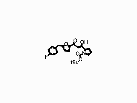 CC(C)(C)OC(=O)n1cccc1/C(O)=C/C(=O)c1ccc(Cc2ccc(F)cc2)o1